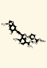 C=C(OCC)c1cnc(N)c2c(C#Cc3cc4ncn(C)c4cc3F)nn([C@H]3CCN(C(=O)OC(C)(C)C)C3)c12